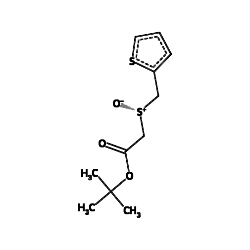 CC(C)(C)OC(=O)C[S@+]([O-])Cc1cccs1